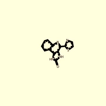 O=c1[nH]c2c(-c3nccs3)nc3ccccc3c2[nH]1